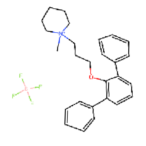 C[N+]1(CCCOc2c(-c3ccccc3)cccc2-c2ccccc2)CCCCC1.F[B-](F)(F)F